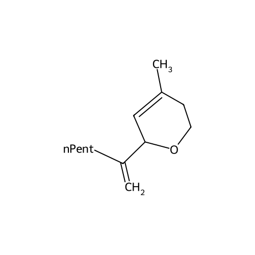 C=C(CCCCC)C1C=C(C)CCO1